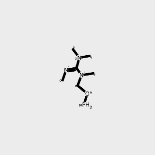 CN=C(N(C)C)N(C)COP